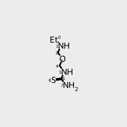 CCNCOCNC(N)=S